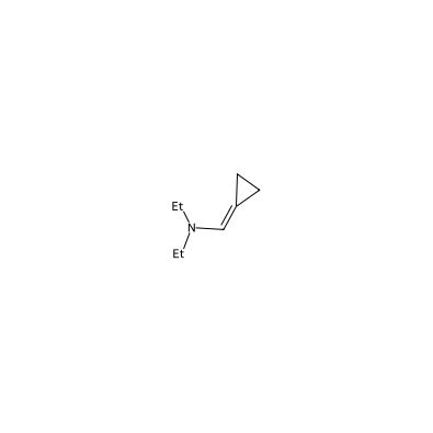 CCN(C=C1CC1)CC